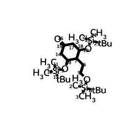 CC(C)(C)[Si](C)(C)OCCC1C(O[Si](C)(C)C(C)(C)C)CC(=O)CC1O[Si](C)(C)C(C)(C)C